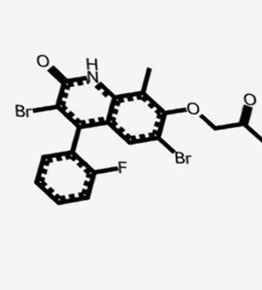 CC(=O)COc1c(Br)cc2c(-c3ccccc3F)c(Br)c(=O)[nH]c2c1C